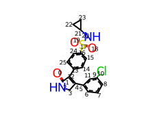 O=C1NCC(c2cccc(Cl)c2)=C1c1ccc(S(=O)(=O)NC2CC2)cc1